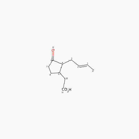 CC=CCC1C(=O)CCC1CC(=O)O